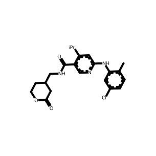 Cc1ccc(Cl)cc1Nc1cc(C(C)C)c(C(=O)NCC2CCOC(=O)C2)cn1